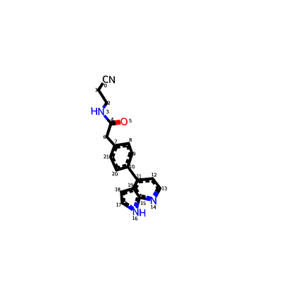 N#CCCNC(=O)Cc1ccc(-c2ccnc3[nH]ccc23)cc1